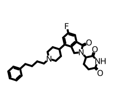 O=C1CCC(N2Cc3c(cc(F)cc3C3CCN(CCCCc4ccccc4)CC3)C2=O)C(=O)N1